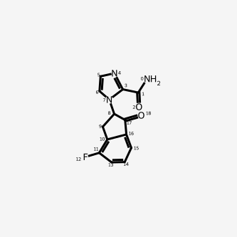 NC(=O)c1nccn1C1Cc2c(F)cccc2C1=O